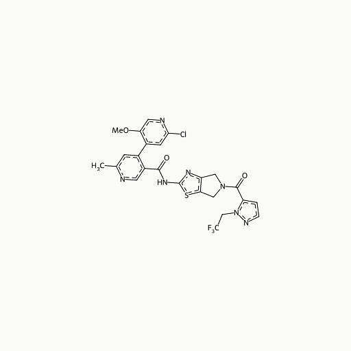 COc1cnc(Cl)cc1-c1cc(C)ncc1C(=O)Nc1nc2c(s1)CN(C(=O)c1ccnn1CC(F)(F)F)C2